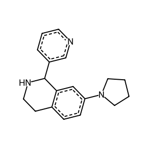 c1cncc(C2NCCc3ccc(N4CCCC4)cc32)c1